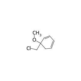 COC1(CCl)C=CC=CC1